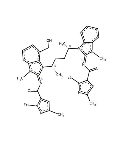 CCn1nc(C)cc1C(=O)/N=c1\n(C)c2ccccc2n1[C@@H](C)CC[C@H](C)n1/c(=N/C(=O)c2cc(C)nn2CC)n(C)c2cccc(CO)c21